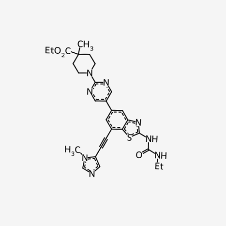 CCNC(=O)Nc1nc2cc(-c3cnc(N4CCC(C)(C(=O)OCC)CC4)nc3)cc(C#Cc3cncn3C)c2s1